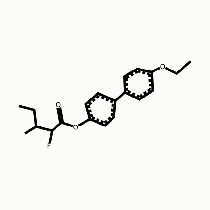 CCOc1ccc(-c2ccc(OC(=O)C(F)C(C)CC)cc2)cc1